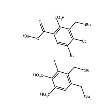 CC(C)(C)Cc1cc(C(=O)O)c(C(=O)O)c(F)c1CC(C)(C)C.CCc1cc(C(=O)OC(C)(C)C)c(C(=O)O)c(CC(C)(C)C)c1CC